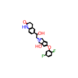 O=C1CCc2cc([C@@H](O)CN3CC4=CC(Oc5cc(F)ccc5F)=C[C@]4(O)C3)ccc2N1